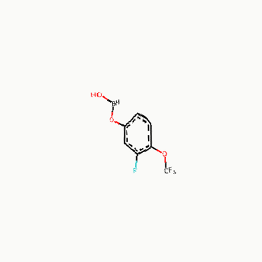 OBOc1ccc(OC(F)(F)F)c(F)c1